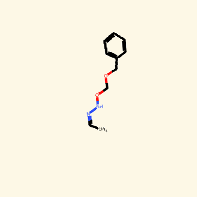 C/C=N\NOCOCc1ccccc1